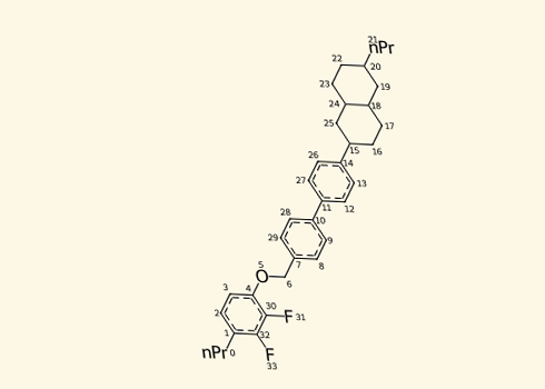 CCCc1ccc(OCc2ccc(-c3ccc(C4CCC5CC(CCC)CCC5C4)cc3)cc2)c(F)c1F